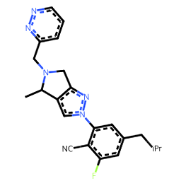 CC(C)Cc1cc(F)c(C#N)c(-n2cc3c(n2)CN(Cc2cccnn2)C3C)c1